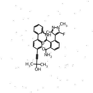 Cc1nn(C)c(F)c1-c1cccc(C(N)=O)c1C(=O)Nc1ccccc1-c1ccc(C#CC(C)(C)O)cc1